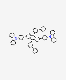 c1ccc(-c2cccc(-c3c4ccc(-c5ccc(-n6c7ccccc7c7ccccc76)cc5)cc4c(-c4cccc(-c5ccccc5)c4)c4ccc(-c5ccc(-n6c7ccccc7c7ccccc76)cc5)cc34)c2)cc1